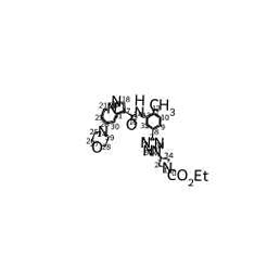 CCOC(=O)N1CC(n2nnc(-c3ccc(C)c(NC(=O)c4cnn5ccc(N6CCOCC6)cc45)c3)n2)C1